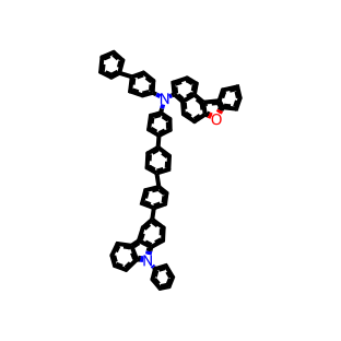 c1ccc(-c2ccc(N(c3ccc(-c4ccc(-c5ccc(-c6ccc7c(c6)c6ccccc6n7-c6ccccc6)cc5)cc4)cc3)c3cccc4c3ccc3oc5ccccc5c34)cc2)cc1